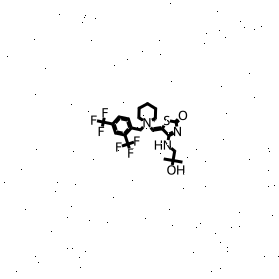 CC(C)(O)CNC1=NC(=O)S/C1=C\[N+]1(Cc2ccc(C(F)(F)F)cc2C(F)(F)F)CCCCC1